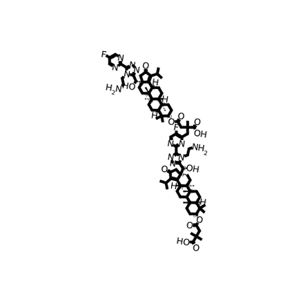 CC(C)C1=C2[C@H]3CC[C@@H]4[C@@]5(C)CC[C@H](OC(=O)CC(C)(Cc6nc(-c7nnc([C@H](O)[C@@]89CC[C@]%10(C)[C@H](CCC%11[C@@]%12(C)CC[C@H](OC(=O)CC(C)(C)C(=O)O)C(C)(C)[C@@H]%12CC[C@]%11%10C)C8=C(C(C)C)C(=O)C9)n7CCN)ncc6F)C(=O)O)C(C)(C)[C@@H]5CC[C@@]4(C)[C@]3(C)CC[C@@]2(C(O)c2nnc(-c3ncc(F)cn3)n2CCN)CC1=O